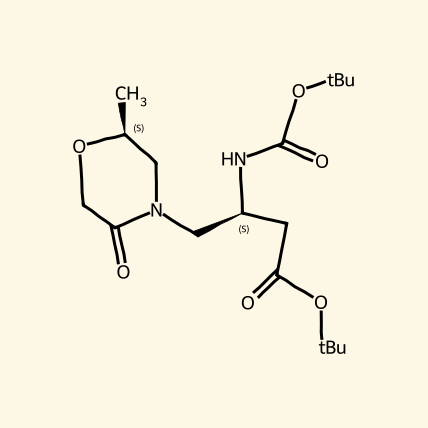 C[C@H]1CN(C[C@H](CC(=O)OC(C)(C)C)NC(=O)OC(C)(C)C)C(=O)CO1